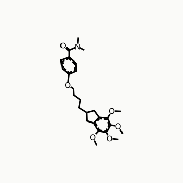 COc1c2c(c(OC)c(OC)c1OC)CC(CCCCOc1ccc(C(=O)N(C)C)cc1)C2